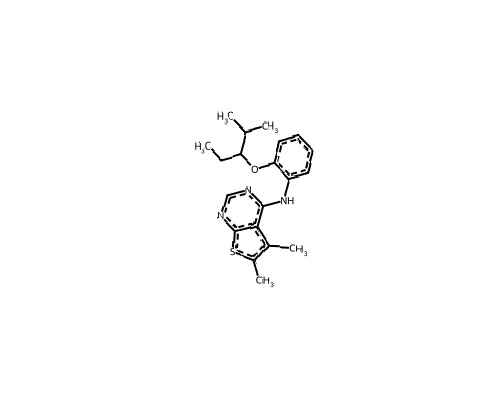 CCC(Oc1ccccc1Nc1ncnc2sc(C)c(C)c12)C(C)C